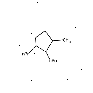 CCCCN1C(C)CCC1CCC